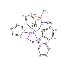 CCC(CC)(N(C)[S+]([O-])C(F)(F)F)N1[PH](c2ccccc2)(c2ccccc2)CC[PH]1(c1ccccc1)c1ccccc1